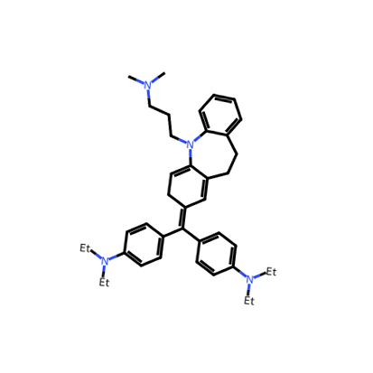 CCN(CC)c1ccc(C(=C2C=C3CCc4ccccc4N(CCCN(C)C)C3=CC2)c2ccc(N(CC)CC)cc2)cc1